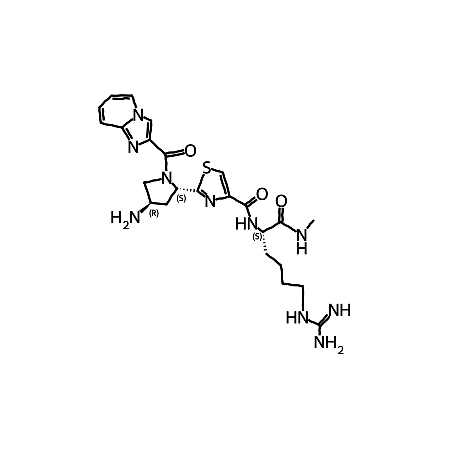 CNC(=O)[C@H](CCCCNC(=N)N)NC(=O)c1csc([C@@H]2C[C@@H](N)CN2C(=O)c2cn3ccccc3n2)n1